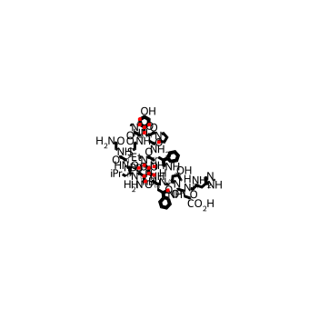 CCCC[C@@H](C(=O)N[C@@H](CC(C)C)C(=O)N[C@@H](CSCC(=O)N[C@@H](Cc1ccc(O)cc1)C(=O)N(C)[C@@H](C)C(=O)N[C@@H](CC(N)=O)C(=O)N1CCCC1)C(=O)NCC(N)=O)N(C)C(=O)[C@H](CCCC)N(CC)C(=O)[C@H](Cc1c[nH]c2ccccc12)NC(=O)[C@H](CCN)NC(=O)[C@H](Cc1c[nH]c2ccccc12)NC(=O)[C@@H]1C[C@@H](O)CN1C(=O)[C@H](CCC(=O)O)NC(=O)[C@@H](N)Cc1cnc[nH]1